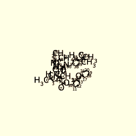 CC(C)=CC1C(C(=O)OCc2cccc(Oc3ccccc3)c2)C1(C)C.CCc1nn(C)c(C(=O)NCc2ccc(C(C)(C)C)cc2)c1Cl